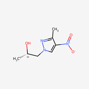 Cc1nn(C[C@H](C)O)cc1[N+](=O)[O-]